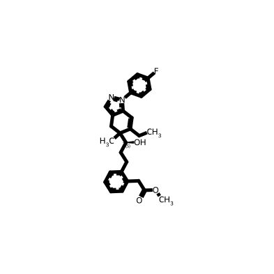 CCC1=Cc2c(cnn2-c2ccc(F)cc2)CC1(C)[C@@H](O)CCc1ccccc1CC(=O)OC